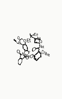 C#CCN1C(=O)COc2cc(F)c(N3C(=O)C4=C(CCCC4)C3=O)cc21.CCC(C)(CC)c1cc(NC(=O)c2c(OC)cccc2OC)on1